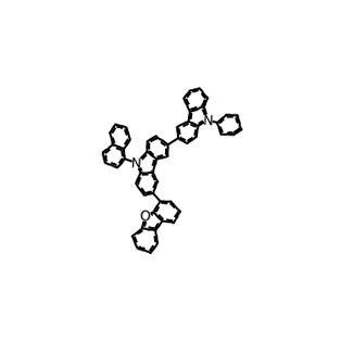 c1ccc(-n2c3ccccc3c3cc(-c4ccc5c(c4)c4cc(-c6cccc7c6oc6ccccc67)ccc4n5-c4cccc5ccccc45)ccc32)cc1